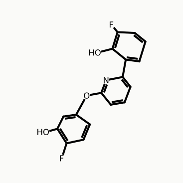 Oc1cc(Oc2cccc(-c3cccc(F)c3O)n2)ccc1F